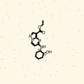 CCOC(=O)c1cnn2ccc(N[C@@H]3CCCC[C@@H]3O)nc12